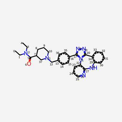 CCN(CC)C(=O)C1CCCN(Cc2ccc(-c3nnc4n3-c3cccnc3Nc3ccccc3-4)cc2)C1